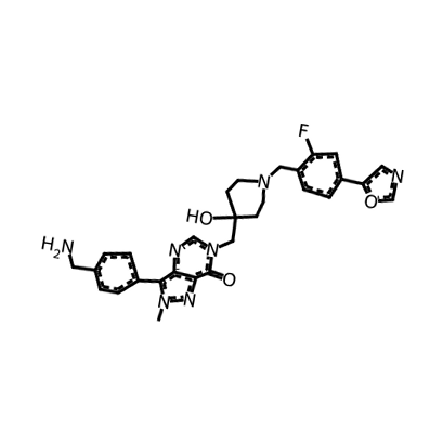 Cn1nc2c(=O)n(CC3(O)CCN(Cc4ccc(-c5cnco5)cc4F)CC3)cnc2c1-c1ccc(CN)cc1